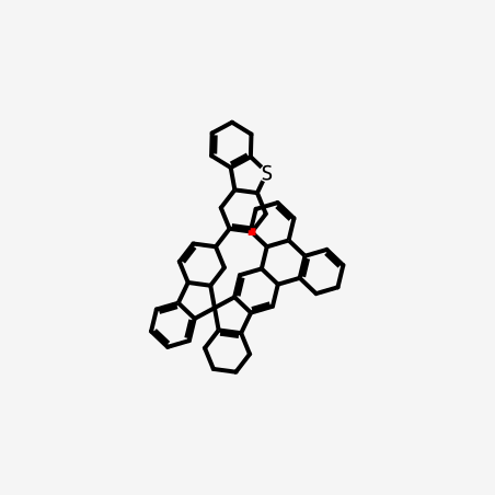 C1=CC2=C(CC1)SC1CC=C(C3C=CC4c5ccccc5C5(C6=CC7C(C=C6C6=C5CCCC6)C5=C(C=CCC5)C5C=CCCC57)C4C3)CC21